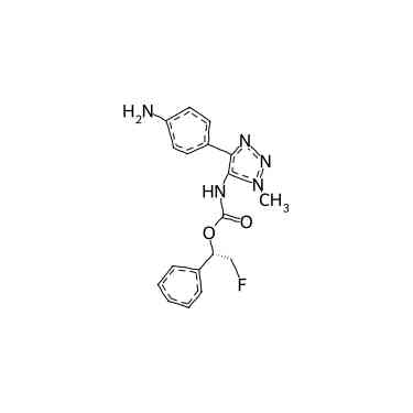 Cn1nnc(-c2ccc(N)cc2)c1NC(=O)O[C@H](CF)c1ccccc1